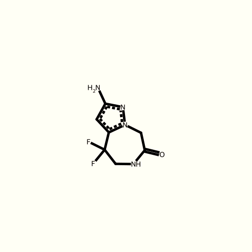 Nc1cc2n(n1)CC(=O)NCC2(F)F